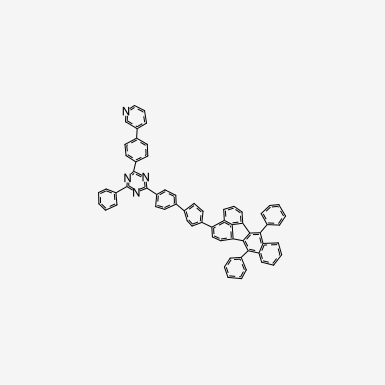 c1ccc(-c2nc(-c3ccc(-c4ccc(-c5ccc6c7c(cccc57)-c5c-6c(-c6ccccc6)c6ccccc6c5-c5ccccc5)cc4)cc3)nc(-c3ccc(-c4cccnc4)cc3)n2)cc1